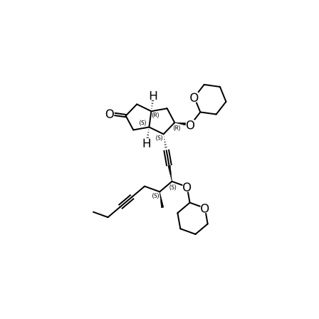 CCC#CC[C@H](C)[C@@H](C#C[C@@H]1[C@H]2CC(=O)C[C@H]2C[C@H]1OC1CCCCO1)OC1CCCCO1